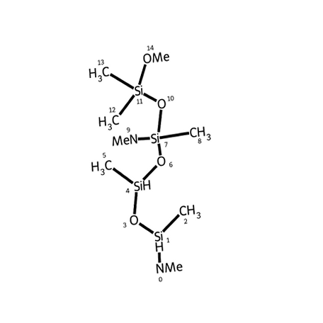 CN[SiH](C)O[SiH](C)O[Si](C)(NC)O[Si](C)(C)OC